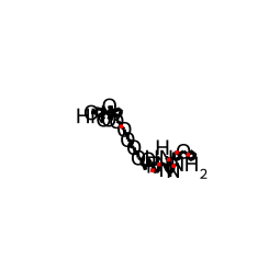 C=C(CCOCCOCCOCCOCCOc1cccc2c1C(=O)N(C1CCC(=O)NC1=O)C2=O)C(=O)N1CCCC(Nc2ncnc(N)c2C(=N)c2ccc(Oc3ccccc3)cc2)C1